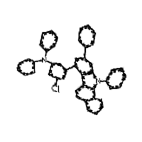 Clc1cc(-c2cc(-c3ccccc3)cc3c2c2ccc4ccccc4c2n3-c2ccccc2)cc(N(c2ccccc2)c2ccccc2)c1